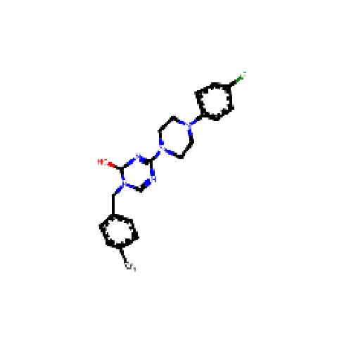 OC1N=C(N2CCN(c3ccc(F)cc3)CC2)N=CN1Cc1ccc(C(F)(F)F)cc1